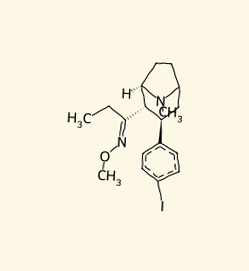 CCC(=NOC)[C@@H]1[C@H]2CCC(C[C@H]1c1ccc(I)cc1)N2C